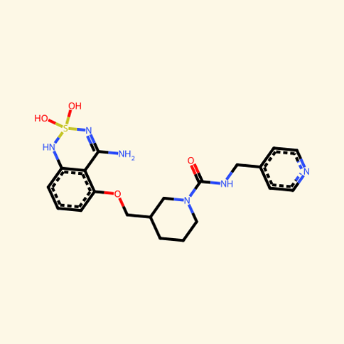 NC1=NS(O)(O)Nc2cccc(OCC3CCCN(C(=O)NCc4ccncc4)C3)c21